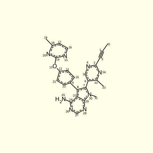 CC#Cc1ncc(-c2c(-c3ccc(Oc4nccc(C)n4)cc3)c3c(N)ncnc3n2C)c(C)n1